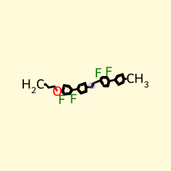 C=CCCOc1ccc(-c2ccc(/C=C/c3ccc(-c4ccc(C)cc4)c(F)c3F)cc2)c(F)c1F